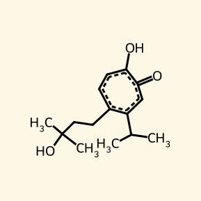 CC(C)c1cc(=O)c(O)ccc1CCC(C)(C)O